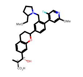 COCC1CCCN1Cc1cc(C2CCc3ccc([C@H](O)[C@H](C)C(=O)O)cc3O2)ccc1-c1cc(OC)ncc1F